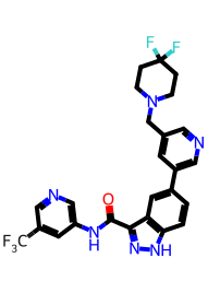 O=C(Nc1cncc(C(F)(F)F)c1)c1n[nH]c2ccc(-c3cncc(CN4CCC(F)(F)CC4)c3)cc12